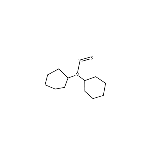 S=[C]N(C1CCCCC1)C1CCCCC1